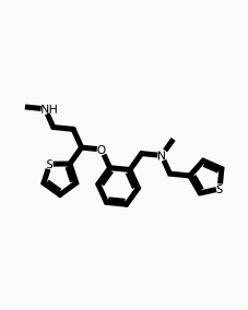 CNCCC(Oc1ccccc1CN(C)Cc1ccsc1)c1cccs1